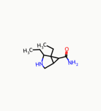 CCC1NCC2C(C(N)=O)C12CC